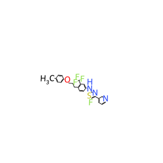 Cc1ccc(OCCCc2ccc(Nc3nc(-c4cccnc4)c(F)s3)cc2C(F)(F)F)cc1